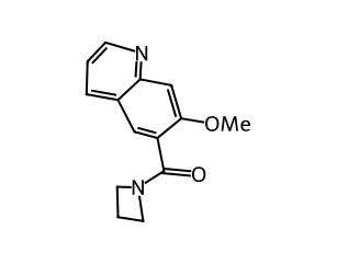 COc1cc2ncccc2cc1C(=O)N1CCC1